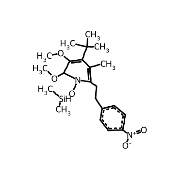 COC1=C(C(C)(C)C)C(C)=C(CCc2ccc([N+](=O)[O-])cc2)N(O[SiH](C)C)C1OC